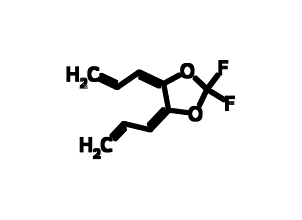 C=C/C=C1/OC(F)(F)O/C1=C/C=C